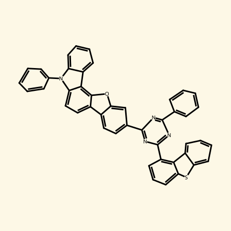 c1ccc(-c2nc(-c3ccc4c(c3)oc3c4ccc4c3c3ccccc3n4-c3ccccc3)nc(-c3cccc4sc5ccccc5c34)n2)cc1